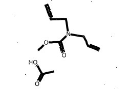 C=CCN(CC=C)C(=O)OC.CC(=O)O